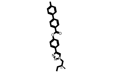 CC[C@H](C)Cn1cc(-c2ccc(OC(=O)c3ccc(-c4ccc(C)cc4)cc3)cc2)nn1